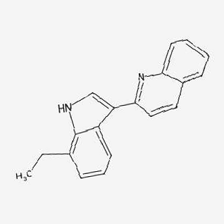 CCc1cccc2c(-c3ccc4ccccc4n3)c[nH]c12